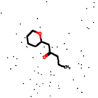 CCCC(=O)CC1CCCCO1